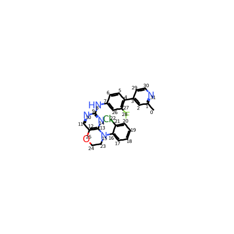 Cc1cc(-c2ccc(Nc3ncc4c(n3)N(c3ccccc3Cl)CCO4)cc2F)ccn1